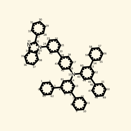 c1ccc(-c2cc(-c3ccccc3)cc(N(c3ccc(-c4cccc(-n5c(-c6ccccc6)nc6ccccc65)c4)cc3)c3cc(-c4ccccc4)cc(-c4ccccc4)c3)c2)cc1